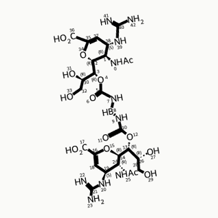 CC(=O)N[C@H]1[C@H]([C@H](OC(=O)NBNC(=O)O[C@@H]([C@@H]2OC(C(=O)O)=C[C@H](NC(=N)N)[C@H]2NC(C)=O)[C@H](O)CO)[C@H](O)CO)OC(C(=O)O)=C[C@@H]1NC(=N)N